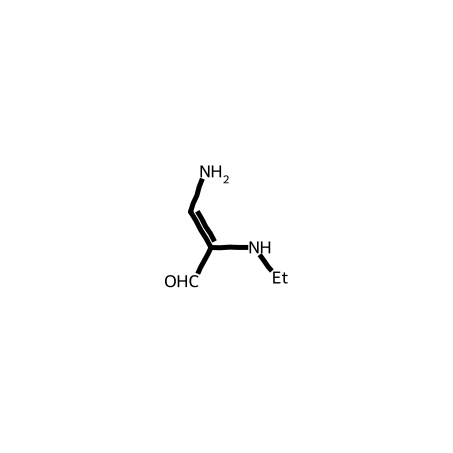 CCN/C(C=O)=C\N